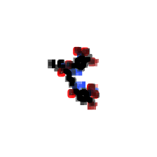 CNC(=O)C(CCCNC(=O)c1ccc(CBr)c([N+](=O)[O-])c1)NC(=O)c1ccc(CBr)c([N+](=O)[O-])c1